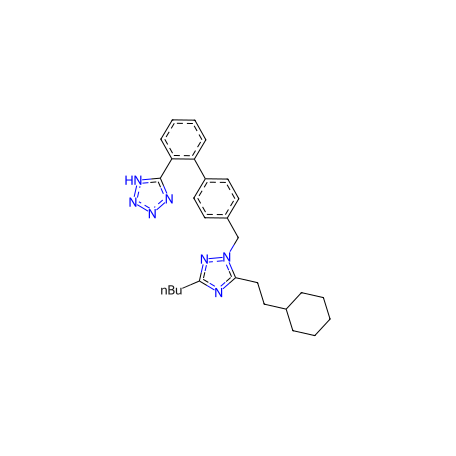 CCCCc1nc(CCC2CCCCC2)n(Cc2ccc(-c3ccccc3-c3nnn[nH]3)cc2)n1